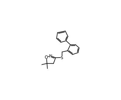 CC1(C)CC(SCc2ccccc2-c2ccccc2)=NO1